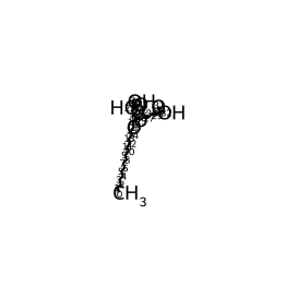 CCCCCCCCCCCCCCCCOCC(COP(=O)(O)O)OCCCCC(=O)O